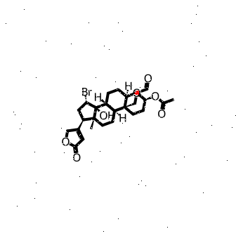 CC(=O)O[C@H]1CC[C@@]2(COC=O)[C@@H](CC[C@@H]3[C@@H]2CC[C@]2(C)[C@@H](C4=CC(=O)OC4)C[C@H](Br)[C@]32O)C1